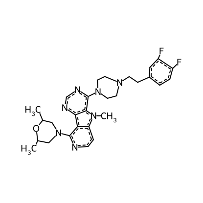 CC1CN(c2nccc3c2c2ncnc(N4CCN(CCc5ccc(F)c(F)c5)CC4)c2n3C)CC(C)O1